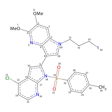 COc1cc2c(nc1OC)c(-c1cc3c(Cl)ccnc3n1S(=O)(=O)c1ccc(C)cc1)cn2CCCI